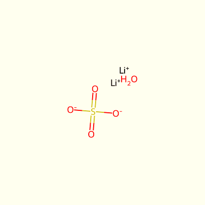 O.O=S(=O)([O-])[O-].[Li+].[Li+]